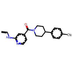 C=CNc1cc(C(=O)N2CCC(c3ccc(C#N)cc3)CC2)ccn1